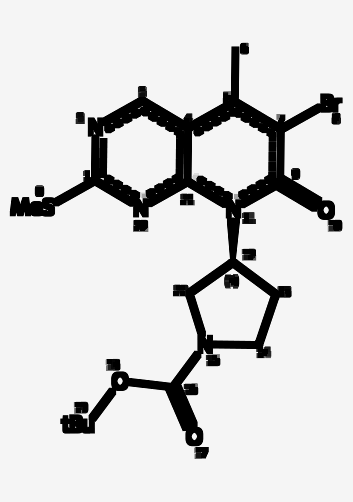 CSc1ncc2c(C)c(Br)c(=O)n([C@H]3CCN(C(=O)OC(C)(C)C)C3)c2n1